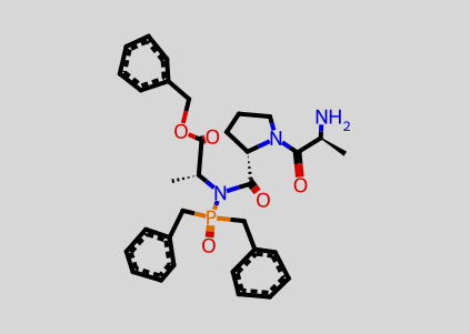 C[C@H](N)C(=O)N1CCC[C@H]1C(=O)N([C@H](C)C(=O)OCc1ccccc1)P(=O)(Cc1ccccc1)Cc1ccccc1